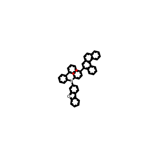 c1ccc(-c2ccccc2N(c2ccc(-c3cc4ccc5ccccc5c4c4ccccc34)cc2)c2ccc3c(c2)oc2ccccc23)cc1